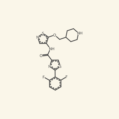 O=C(Nc1cnsc1OCC1CCNCC1)c1csc(-c2c(F)cccc2F)n1